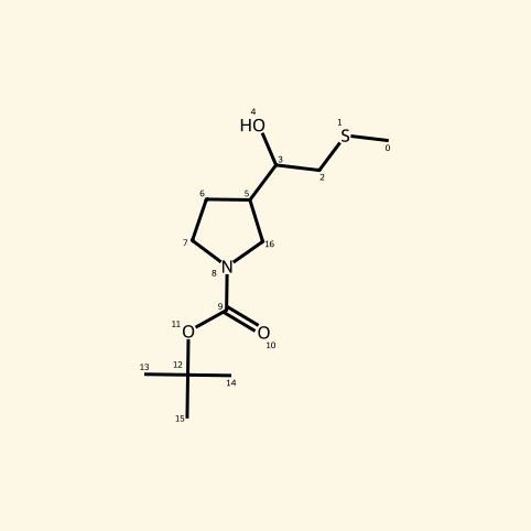 CSCC(O)C1CCN(C(=O)OC(C)(C)C)C1